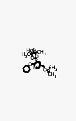 CB(C)OCc1cnc(OC2CCCCC2)c(B2OC(C)(C)C(C)(C)O2)c1